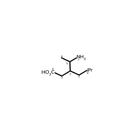 CC(C)CC(CC(=O)O)C(C)N